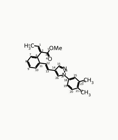 C/C=C(/C(=O)OC)c1ccccc1/C=C/c1cnn(-c2ccc(C)c(C)c2)c1